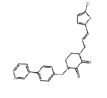 O=C1C(=O)N(Cc2ccc(-c3cccnc3)cc2)CCN1CC=Cc1ccc(Cl)s1